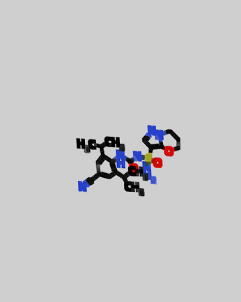 CC(C)c1cc(C#N)cc(C(C)C)c1NC(=O)N=S(N)(=O)c1cnn2c1OCCC2